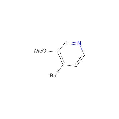 COc1cnccc1C(C)(C)C